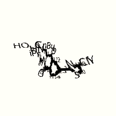 CCCCOc1c(CNC(=O)O)n(CC(C)C)c(=O)c2ccc(-c3nc(C#N)cs3)cc12